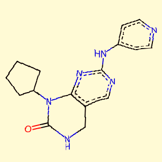 O=C1NCc2cnc(Nc3ccncc3)nc2N1C1CCCC1